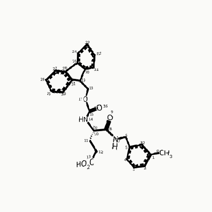 Cc1cccc(CNC(=O)[C@H](CCC(=O)O)NC(=O)OCC2c3ccccc3-c3ccccc32)c1